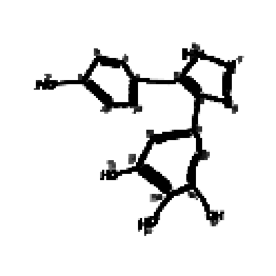 Oc1ccc(-c2[nH]nnc2-c2cc(O)c(O)c(O)c2)cc1